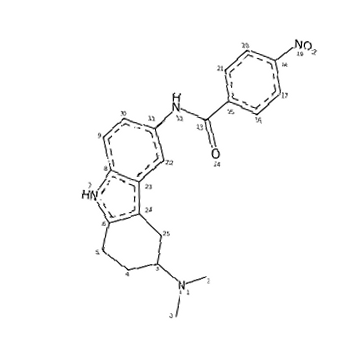 CN(C)C1CCc2[nH]c3ccc(NC(=O)c4ccc([N+](=O)[O-])cc4)cc3c2C1